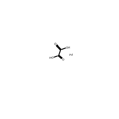 O=C(O)C(=O)O.[Pd]